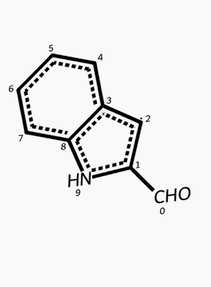 O=Cc1[c]c2ccccc2[nH]1